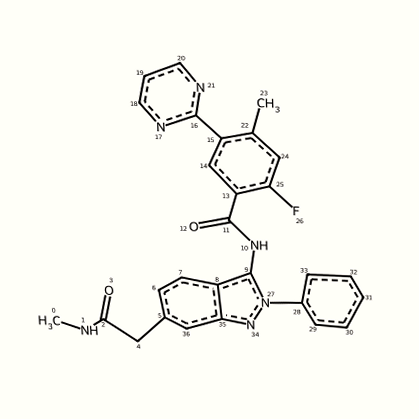 CNC(=O)Cc1ccc2c(NC(=O)c3cc(-c4ncccn4)c(C)cc3F)n(-c3ccccc3)nc2c1